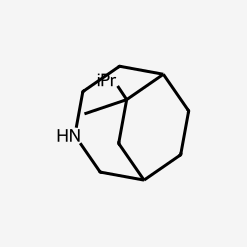 CC(C)C1(C)CC2CCC1CCNC2